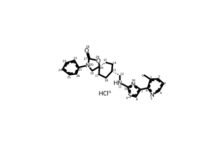 Cc1cccnc1-c1csc(NC[C@H]2CC[C@]3(CC2)CN(c2ccccc2)C(=O)O3)n1.Cl